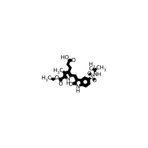 CCOC(=O)c1[nH]c(C=C2C(=O)Nc3ccc(S(=O)(=O)NC(C)C)cc32)c(CCC(=O)O)c1C